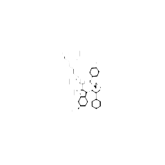 O=C(O)CCCCCCNC(=O)c1[nH]c2cc(Cl)ccc2c1-c1c(-c2ccccc2)cnn1Cc1ccc(Cl)cc1